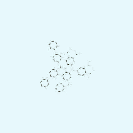 CC1(C)CCC(C)(C)c2cc(N3c4cc5c(cc4Bc4c3cc3c(c4-c4cc(-c6ccccc6)ccc4Nc4ccc(-c6ccccc6)cc4)-c4ccccc4C3(C)C)C(C)(C)CCC5(C)C)ccc21